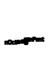 CCCCCCCCC1CC=C(c2ccc(C(=O)OC3CCC(CCCCC)CC3)cc2)CC1